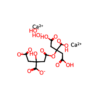 O=C([O-])CC(O)(CC(=O)OC(CC(=O)O)(CC(=O)O)C(=O)O)C(=O)[O-].[Ca+2].[Ca+2].[OH-].[OH-]